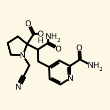 N#CCN1CCCC1(C(=O)O)C(Cc1ccnc(C(N)=O)c1)C(N)=O